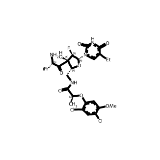 CCc1cn([C@@H]2O[C@H](CNC(=O)[C@H](C)Oc3cc(OC)c(Cl)cc3Cl)[C@](O)(C(=O)[C@@H](N)C(C)C)[C@H]2F)c(=O)[nH]c1=O